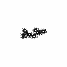 c1cc(-c2ccc(-n3c4ccccc4c4cccnc43)cc2)cc(-c2cc3nc4ccccc4cc3c3ccccc23)c1